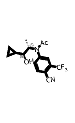 CC(=O)N(c1ccc(C#N)c(C(F)(F)F)c1)[C@@H](C)[C@@H](O)C1CC1